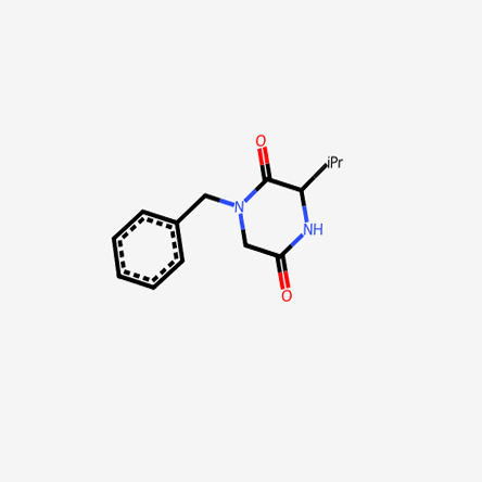 CC(C)C1NC(=O)CN(Cc2ccccc2)C1=O